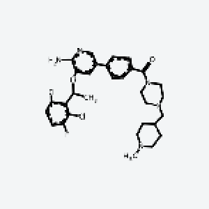 CC(Oc1cc(-c2ccc(C(=O)N3CCN(CC4CCN(C)CC4)CC3)cc2)cnc1N)c1c(Cl)ccc(F)c1Cl